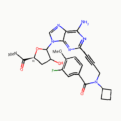 CNC(=O)[C@@H]1CC(O)C(n2cnc3c(N)nc(C#CCN(C(=O)c4ccc(OC)c(F)c4)C4CCC4)nc32)O1